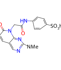 CNc1ncc2ccc(=O)n(CC(=O)Nc3ccc(S(=O)(=O)O)cc3)c2n1